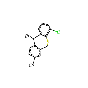 [C-]#[N+]c1ccc2c(c1)CSc1c(Cl)cccc1C2C(C)C